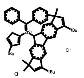 CC(C)(C)C1=CC[C]([Zr+2](=[C](c2ccccc2)c2ccccc2)[CH]2c3cc4c(cc3-c3cc5c(cc32)C(C)(C)C=C5C(C)(C)C)C(C(C)(C)C)=CC4(C)C)=C1.[Cl-].[Cl-]